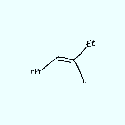 [CH2]/C(=C\CCC)CC